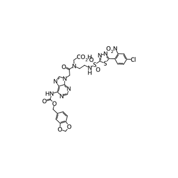 O=C(O)CN(CCNS(=O)(=O)c1nnc(-c2ccc(Cl)cc2[N+](=O)[O-])s1)C(=O)Cn1cnc2c(NC(=O)OCc3ccc4c(c3)OCO4)ncnc21